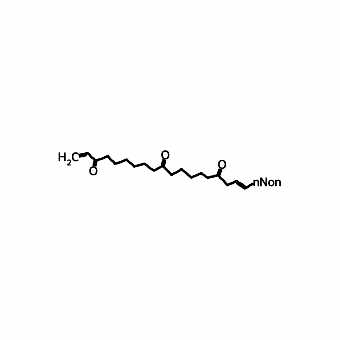 C=CC(=O)CCCCCCC(=O)CCCCCC(=O)CC=CCCCCCCCCC